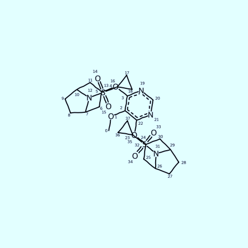 COc1c(OC2CC3CCC(C2)N3S(=O)(=O)C2CC2)ncnc1OC1CC2CCC(C1)N2S(=O)(=O)C1CC1